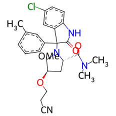 COc1ccc(C)cc1C1(N2C[C@H](OCCC#N)C[C@H]2C(=O)N(C)C)C(=O)Nc2ccc(Cl)cc21